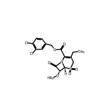 CCCCO[C@H]1C(=O)N2C(C(=O)OCc3ccc(Cl)c(Cl)c3)=C(COC(C)=O)CS(=O)(=O)[C@H]12